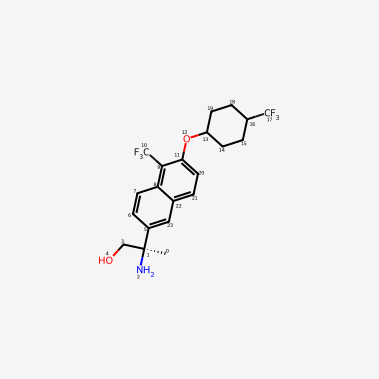 C[C@](N)(CO)c1ccc2c(C(F)(F)F)c(OC3CCC(C(F)(F)F)CC3)ccc2c1